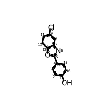 Oc1[c]cc(-c2nc3cc(Cl)ccc3o2)cc1